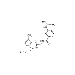 CCOC(=O)CC(NC(=O)CNC(=O)c1cccc(NC(=N)N)c1)c1ccc(C)s1